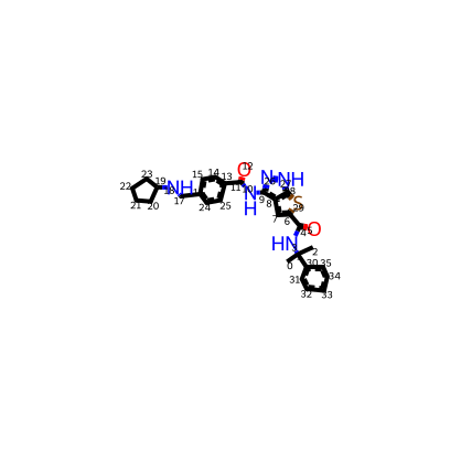 CC(C)(NC(=O)c1cc2c(NC(=O)c3ccc(CNC4CCCC4)cc3)n[nH]c2s1)c1ccccc1